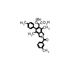 Cc1ccc(-c2c(C)c3c(c(C)c2[C@H](OC(C)(C)C)C(=O)O)CN(C(=O)c2cccc(C)c2)C3)cc1